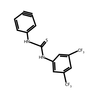 FC(F)(F)c1cc(NC(=S)Nc2cc#ccc2)cc(C(F)(F)F)c1